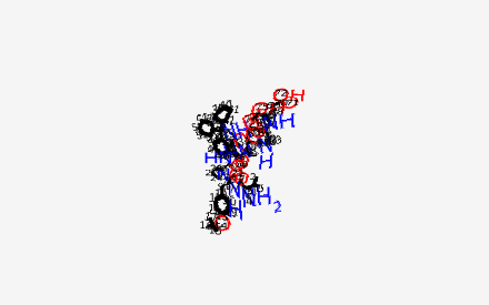 CC(C)[C@H](N)C(=O)N[C@@H](Cc1ccc(OC(C)(C)C)cc1)C(=O)N1CCC[C@H]1C(=O)N[C@@H](CC(=O)NC(c1ccccc1)(c1ccccc1)c1ccccc1)C(=O)NCC(=O)N[C@@H](C)C(=O)N[C@@H](CCC(=O)O)C(=O)O